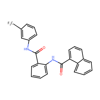 O=C(Nc1cccc(C(F)(F)F)c1)c1ccccc1NC(=O)c1cccc2ccccc12